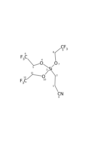 N#CCC[Si](OCC(F)(F)F)(OCC(F)(F)F)OCC(F)(F)F